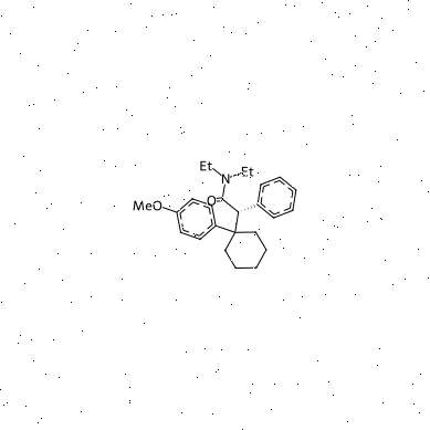 CCN(CC)C(=O)[C@H](c1ccccc1)C1(c2ccc(OC)cc2)CCCCC1